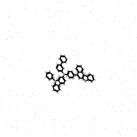 C1=CCCC(c2cccc(N(c3ccc(-c4cc5sc6ccccc6c5c5ccccc45)cc3)c3ccc4c5ccccc5n(-c5ccccc5)c4c3)c2)=C1